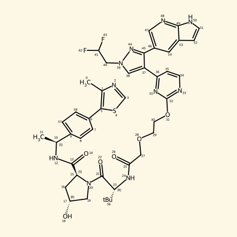 Cc1ncsc1-c1ccc([C@H](C)NC(=O)[C@@H]2C[C@@H](O)CN2C(=O)[C@H](NC(=O)COCCOc2nccc(-c3cn(CC(F)F)nc3-c3cnc4[nH]ccc4c3)n2)C(C)(C)C)cc1